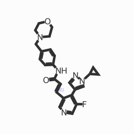 O=C(/C=C/c1cncc(F)c1-c1cnn(C2CC2)c1)Nc1ccc(CN2CCOCC2)cc1